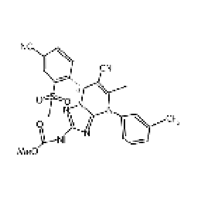 COC(=O)Nc1nc2n(n1)[C@H](c1ccc(C#N)cc1S(C)(=O)=O)C(C#N)=C(C)N2c1cccc(C(F)(F)F)c1